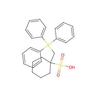 O=S(=O)(O)C1(CS(c2ccccc2)(c2ccccc2)c2ccccc2)CCCCC1